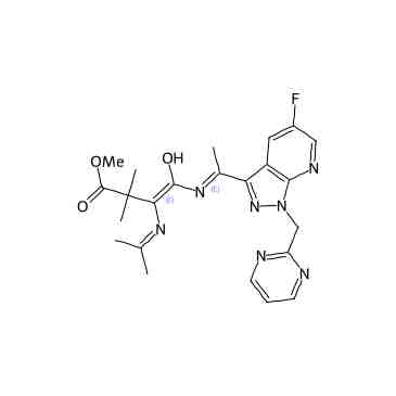 COC(=O)C(C)(C)/C(N=C(C)C)=C(O)/N=C(\C)c1nn(Cc2ncccn2)c2ncc(F)cc12